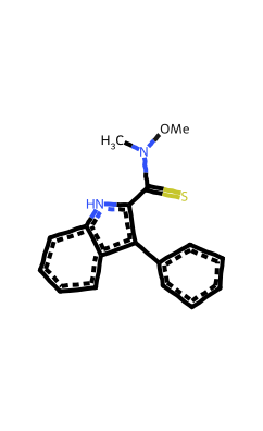 CON(C)C(=S)c1[nH]c2ccccc2c1-c1ccccc1